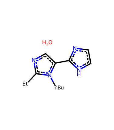 CCCCn1c(-c2ncc[nH]2)cnc1CC.O